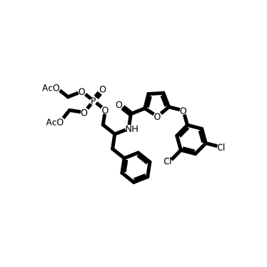 CC(=O)OCOP(=O)(OCOC(C)=O)OCC(Cc1ccccc1)NC(=O)c1ccc(Oc2cc(Cl)cc(Cl)c2)o1